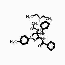 CC(=O)NC1(Nc2ccccc2)C(=O)N(c2ccc(C)cc2)N=C1NC(=O)c1ccccc1.CCNCC